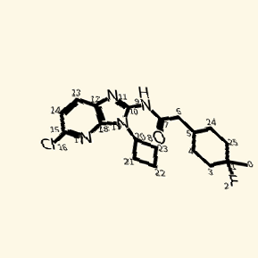 CC1(F)CCC(CC(=O)Nc2nc3ccc(Cl)nc3n2C2CCC2)CC1